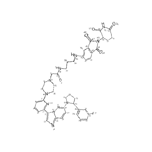 O=C(CN1CCN(c2cccc(-c3cnc4ccc(N5CCCC5c5cccc(F)c5)nn34)n2)CC1)NCCCNc1ccc2c(c1)C(=O)N(C1CCC(=O)NC1=O)C2=O